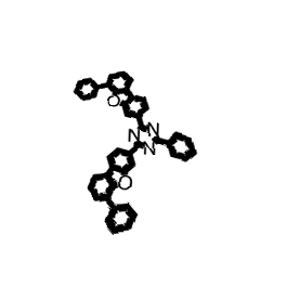 c1ccc(-c2nc(-c3ccc4c(c3)oc3c(-c5ccccc5)cccc34)nc(-c3ccc4c(c3)oc3c(-c5ccccc5)cccc34)n2)cc1